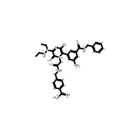 CCNN(CC)c1nc(Cl)c(-c2cc(N)cc(C(=O)NCc3ccccc3)c2)n(CC(=O)NCc2ccc(C(=N)N)cc2)c1=O